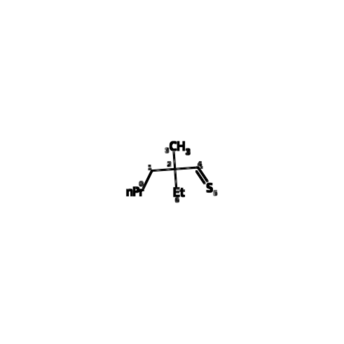 CCCCC(C)([C]=S)CC